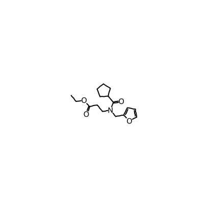 CCOC(=O)CCN(Cc1ccco1)C(=O)C1CCCC1